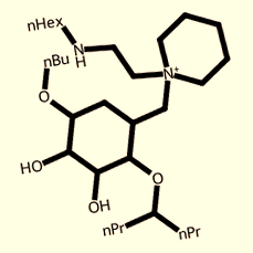 CCCCCCNCC[N+]1(CC2CC(OCCCC)C(O)C(O)C2OC(CCC)CCC)CCCCC1